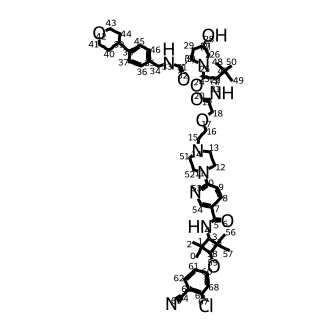 CC1(C)C(NC(=O)c2ccc(N3CCN(CCOCC(=O)N[C@H](C(=O)N4C[C@H](O)C[C@H]4C(=O)NCc4ccc(C5CCOCC5)cc4)C(C)(C)C)CC3)nc2)C(C)(C)C1Oc1ccc(C#N)c(Cl)c1